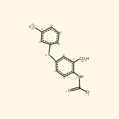 CCC(=O)Nc1ccc(Sc2cccc(C(F)(F)F)c2)cc1C(=O)O